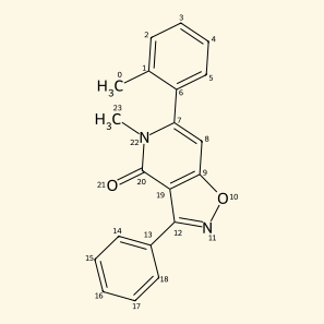 Cc1ccccc1-c1cc2onc(-c3ccccc3)c2c(=O)n1C